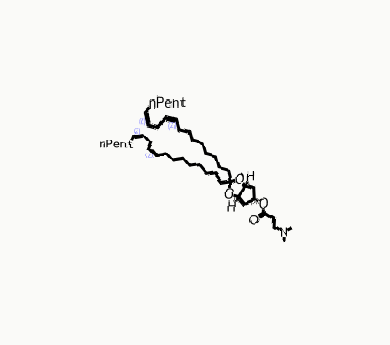 CCCCC/C=C\C/C=C\CCCCCCCCC1(CCCCCCCC/C=C\C/C=C\CCCCC)O[C@H]2C[C@H](OC(=O)CCN(C)C)C[C@H]2O1